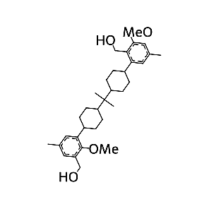 COc1cc(C)cc(C2CCC(C(C)(C)C3CCC(c4cc(C)cc(CO)c4OC)CC3)CC2)c1CO